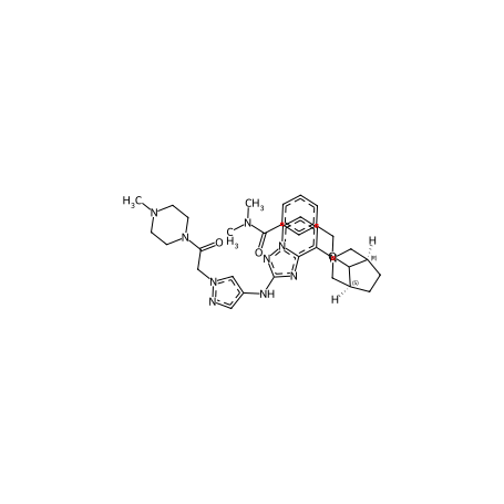 CN1CCN(C(=O)Cn2cc(Nc3nc4c(N5C[C@H]6CC[C@@H](C5)C6OCc5cccc(C(=O)N(C)C)c5)cccn4n3)cn2)CC1